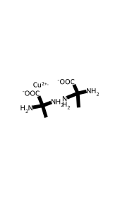 CC(N)(N)C(=O)[O-].CC(N)(N)C(=O)[O-].[Cu+2]